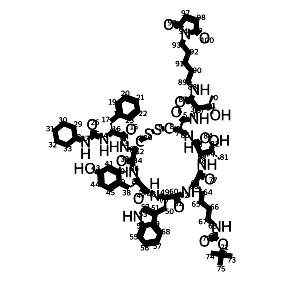 C[C@@H](O)[C@H](NC(=O)[C@@H]1CSSC[C@H](NC(=O)[C@@H](Cc2ccccc2)NC(=O)NC2CCCCC2)C(=O)N[C@@H](Cc2ccc(O)cc2)C(=O)N[C@H](Cc2c[nH]c3ccccc23)C(=O)N[C@@H](CCCCNC(=O)OC(C)(C)C)C(=O)N[C@@H]([C@@H](C)O)C(=O)N1)C(=O)NCCCCCN1C(=O)C=CC1=O